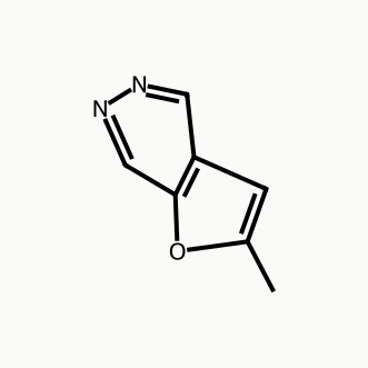 Cc1cc2cnncc2o1